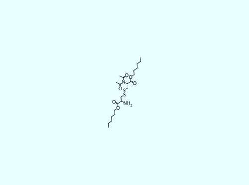 CCCCCCOC(=O)C(N)CSSC[C@@H](C(=O)OCCCCCC)N(C(C)=O)C(C)=O